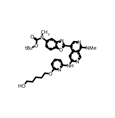 CNc1ncc(-c2nc3cc(N(C)C(=O)OC(C)(C)C)ccc3o2)c2cc(Nc3cccc(OCCCCCO)n3)ncc12